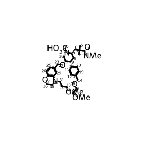 CNC(=O)C(C)(C)C[C@H]1C[C@H](c2ccc(COCCOC)cc2)[C@@H](OCc2ccc3c(c2)N(CCCOC)CCO3)CN1C(=O)O